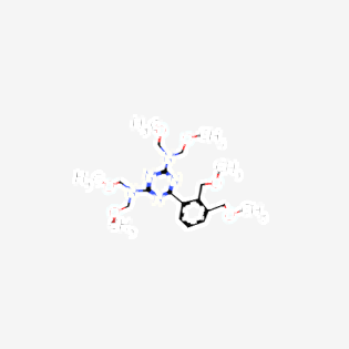 COCc1cccc(-c2nc(N(COC)COC)nc(N(COC)COC)n2)c1COC